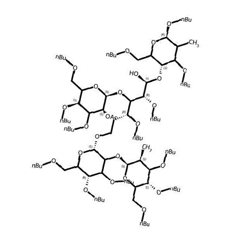 CCCCOCC1O[C@@H](OCCCC)C(C)C(OCCCC)[C@@H]1O[C@H](O)[C@H](OCCCC)C(O[C@@H]1OC(COCCCC)[C@H](OCCCC)C(OCCCC)[C@@H]1OC(C)=O)[C@@H](CCO[C@H]1OC(COCCCC)[C@@H](OCCCC)C(OCCCC)C1O[C@@H]1OC(COCCCC)[C@@H](OCCCC)C(OCCCC)[C@@H]1C)OCCCC